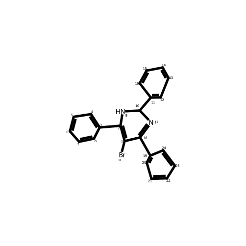 BrC1=C(c2ccccc2)NC(c2ccccc2)N=C1c1ccccc1